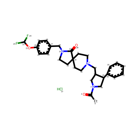 CCC(=O)N1CC(CN2CCC3(CC2)CCN(Cc2ccc(OC(F)F)cc2)C3=O)C(c2ccccc2)C1.Cl